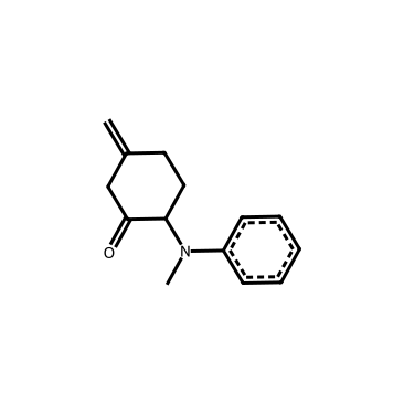 C=C1CCC(N(C)c2ccccc2)C(=O)C1